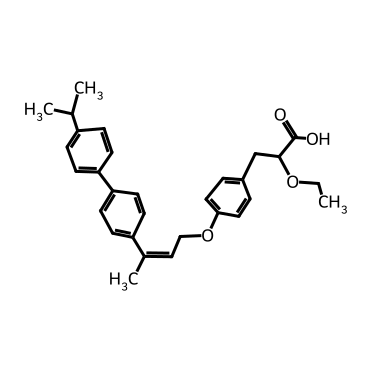 CCOC(Cc1ccc(OCC=C(C)c2ccc(-c3ccc(C(C)C)cc3)cc2)cc1)C(=O)O